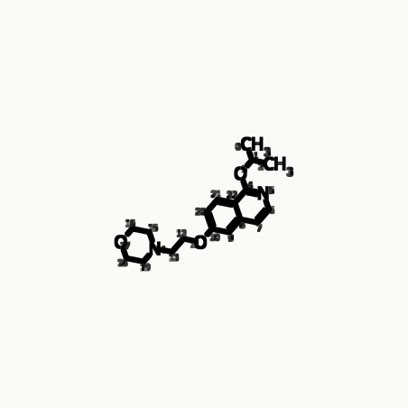 CC(C)Oc1nccc2cc(OCCN3CCOCC3)ccc12